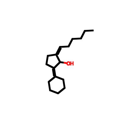 CCCCCC=C1CCC(=C2CCCCC2)C1O